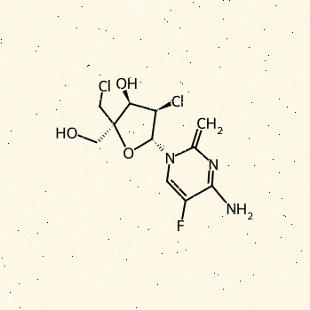 C=C1N=C(N)C(F)=CN1[C@@H]1O[C@@](CO)(CCl)[C@@H](O)[C@H]1Cl